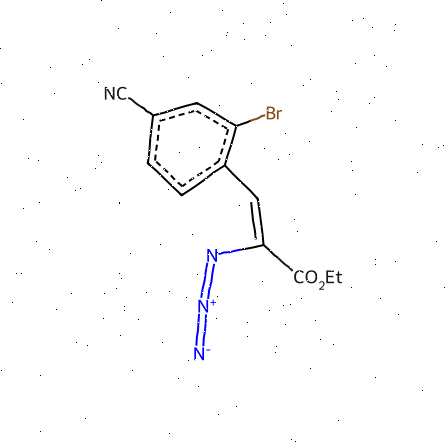 CCOC(=O)C(=Cc1ccc(C#N)cc1Br)N=[N+]=[N-]